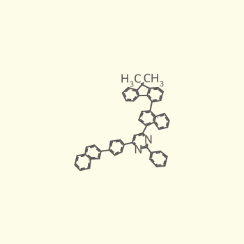 CC1(C)c2ccccc2-c2c(-c3ccc(-c4cc(-c5ccc(-c6ccc7ccccc7c6)cc5)nc(-c5ccccc5)n4)c4ccccc34)cccc21